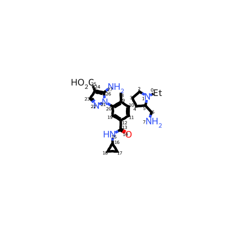 CCN1CCCC1CN.Cc1ccc(C(=O)NC2CC2)cc1-n1ncc(C(=O)O)c1N